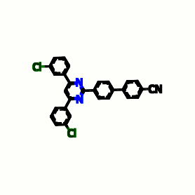 N#Cc1ccc(-c2ccc(-c3nc(-c4cccc(Cl)c4)cc(-c4cccc(Cl)c4)n3)cc2)cc1